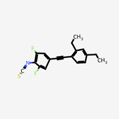 CCc1ccc(C#Cc2cc(F)c(N=C=S)c(F)c2)c(CC)c1